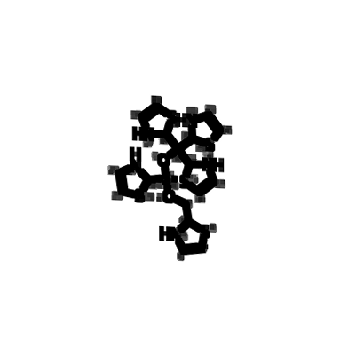 C[Si](OCC1NC=CS1)(OC(C1NC=CS1)(C1NC=CS1)C1NC=CS1)C1NC=CS1